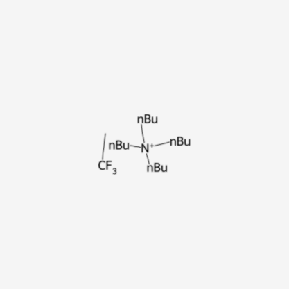 CC(F)(F)F.CCCC[N+](CCCC)(CCCC)CCCC